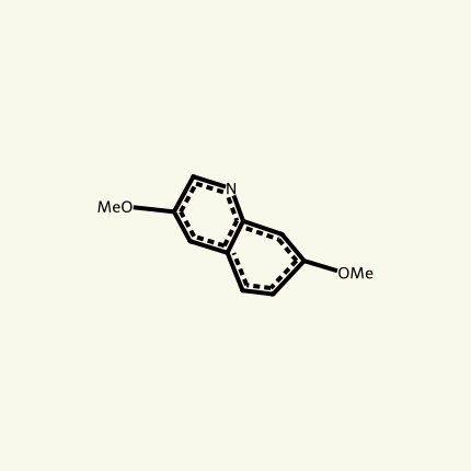 COc1cnc2cc(OC)ccc2c1